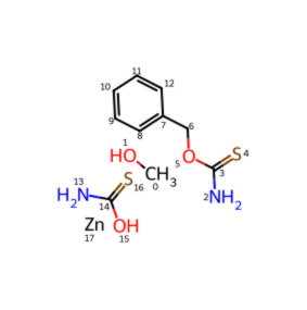 CO.NC(=S)OCc1ccccc1.NC(O)=S.[Zn]